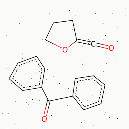 O=C(c1ccccc1)c1ccccc1.O=C=C1CCCO1